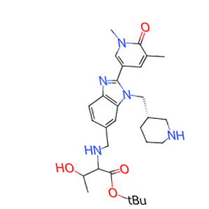 Cc1cc(-c2nc3ccc(CNC(C(=O)OC(C)(C)C)C(C)O)cc3n2C[C@H]2CCCNC2)cn(C)c1=O